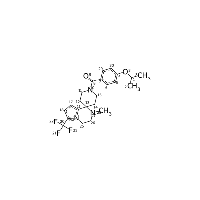 CC(C)Oc1ccc(C(=O)N2CCC3(CC2)c2ccc(C(F)(F)F)n2CCN3C)cc1